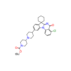 CC(C)(C)OC(=O)N1CCC(N2CCC(c3ccc4c(c3)-n3c(nc(=O)c5c(Cl)cccc53)C43CCCCC3)CC2)CC1